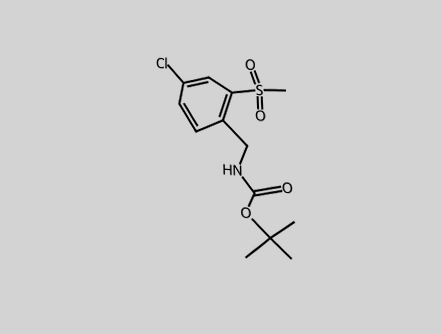 CC(C)(C)OC(=O)NCc1ccc(Cl)cc1S(C)(=O)=O